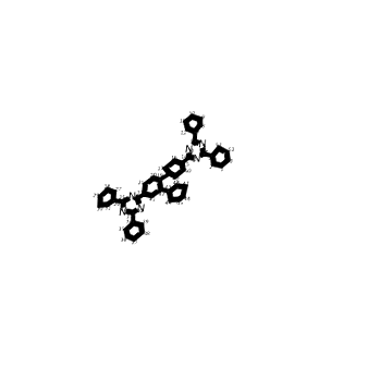 c1ccc(-c2nc(-c3ccccc3)nc(-c3ccc(-c4ccc(-c5nc(-c6ccccc6)nc(-c6ccccc6)n5)cc4-c4ccccc4)cc3)n2)cc1